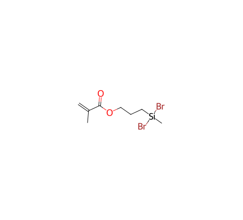 C=C(C)C(=O)OCCC[Si](C)(Br)Br